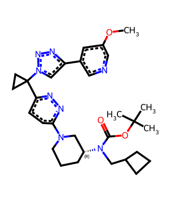 COc1cncc(-c2cn(C3(c4ccc(N5CCC[C@@H](N(CC6CCC6)C(=O)OC(C)(C)C)C5)nn4)CC3)nn2)c1